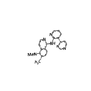 CNc1c(C)ccc2c(Nc3ncccc3-c3ccncn3)nccc12